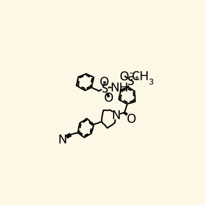 C[S+]([O-])c1ccc(C(=O)N2CCC(c3ccc(C#N)cc3)CC2)cc1NS(=O)(=O)Cc1ccccc1